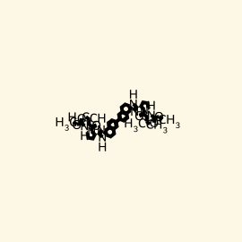 COC(=O)N[C@H](C(=O)N1CCC[C@H]1c1nc2c([nH]1)CCc1cc(-c3ccc4c(c3)CCc3[nH]c([C@@H]5CCCN5C(=O)[C@@H](NC(=O)OC)C(C)C)nc3-4)ccc1-2)C(C)C